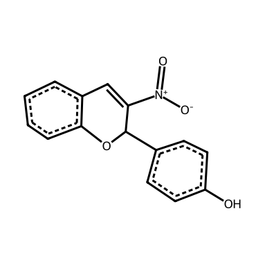 O=[N+]([O-])C1=Cc2ccccc2OC1c1ccc(O)cc1